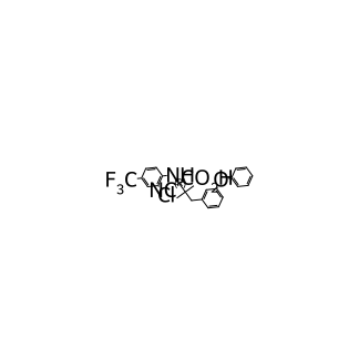 CC(C)(Cc1cccc(Oc2ccccc2)c1)[C@](C#N)(Nc1ccc(C(F)(F)F)cc1Cl)C(=O)O